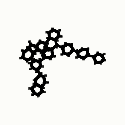 c1ccc(-c2ccc(-c3ccc(N(c4ccc(-c5cccc(-c6ccc7ccccc7c6)c5)cc4)c4ccccc4-c4ccc5c(c4)oc4ccccc45)cc3)cc2)cc1